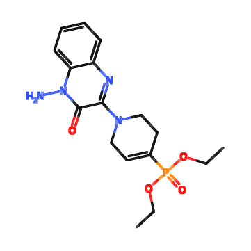 CCOP(=O)(OCC)C1=CCN(c2nc3ccccc3n(N)c2=O)CC1